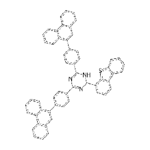 c1ccc2c(c1)cc(-c1ccc(C3=NC(c4cccc5c4sc4ccccc45)NC(c4ccc(-c5cc6ccccc6c6ccccc56)cc4)=N3)cc1)c1ccccc12